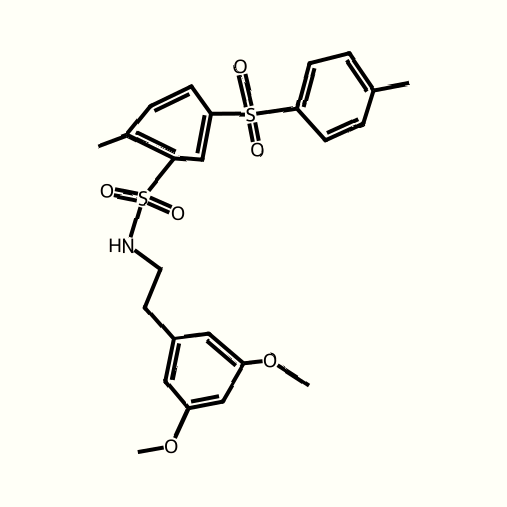 COc1cc(CCNS(=O)(=O)c2cc(S(=O)(=O)c3ccc(C)cc3)ccc2C)cc(OC)c1